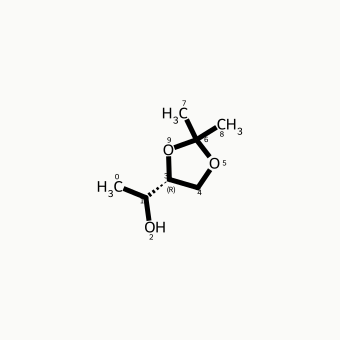 CC(O)[C@H]1COC(C)(C)O1